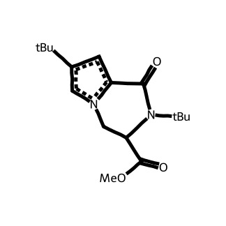 COC(=O)C1Cn2cc(C(C)(C)C)cc2C(=O)N1C(C)(C)C